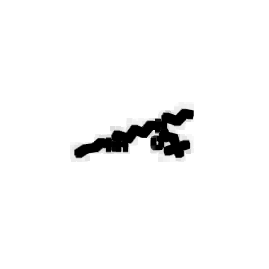 CCCCNCCCCCN(CCCC)C(=O)CC(C)(C)C